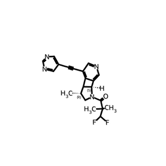 C[C@H]1CN(C(=O)C(C)(C)C(F)F)[C@@H]2c3cncc(C#Cc4cncnc4)c3C21